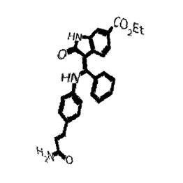 CCOC(=O)c1ccc2c(c1)NC(=O)/C2=C(\Nc1ccc(CCC(N)=O)cc1)c1ccccc1